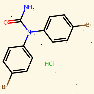 Cl.NC(=O)N(c1ccc(Br)cc1)c1ccc(Br)cc1